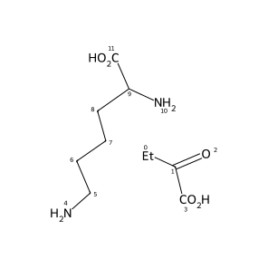 CCC(=O)C(=O)O.NCCCCC(N)C(=O)O